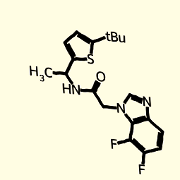 CC(NC(=O)Cn1cnc2ccc(F)c(F)c21)c1ccc(C(C)(C)C)s1